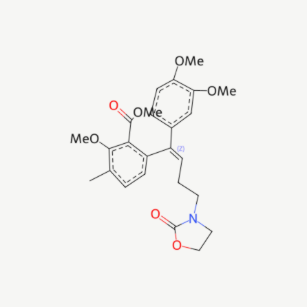 COC(=O)c1c(/C(=C\CCN2CCOC2=O)c2ccc(OC)c(OC)c2)ccc(C)c1OC